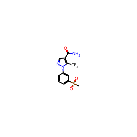 CS(=O)(=O)c1cccc(-n2ncc(C(N)=O)c2C(F)(F)F)c1